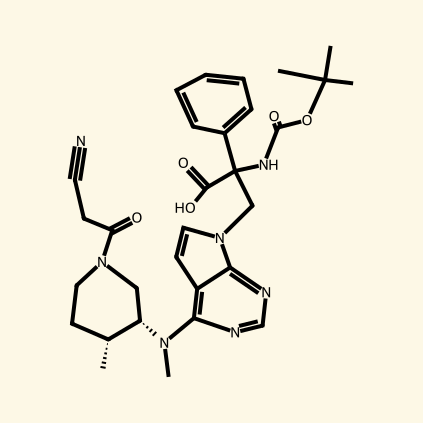 C[C@@H]1CCN(C(=O)CC#N)C[C@@H]1N(C)c1ncnc2c1ccn2CC(NC(=O)OC(C)(C)C)(C(=O)O)c1ccccc1